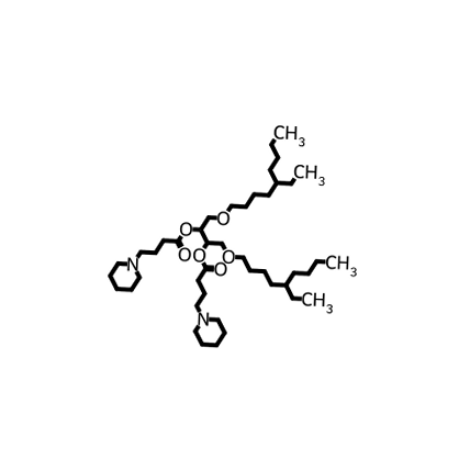 CCCCC(CC)CCCCOCC(OC(=O)CCCN1CCCCC1)C(COCCCCC(CC)CCCC)OC(=O)CCCN1CCCCC1